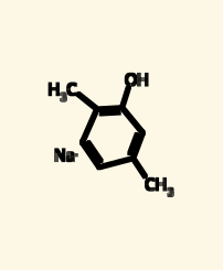 Cc1ccc(C)c(O)c1.[Na]